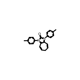 Cc1ccc(-n2c3c(n(-c4ccc(C)cc4)c2=O)C=CCC=C3)cc1